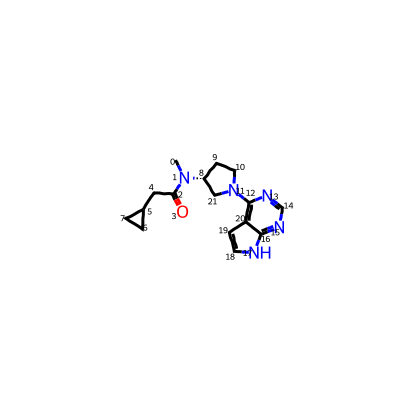 CN(C(=O)CC1CC1)[C@@H]1CCN(c2ncnc3[nH]ccc23)C1